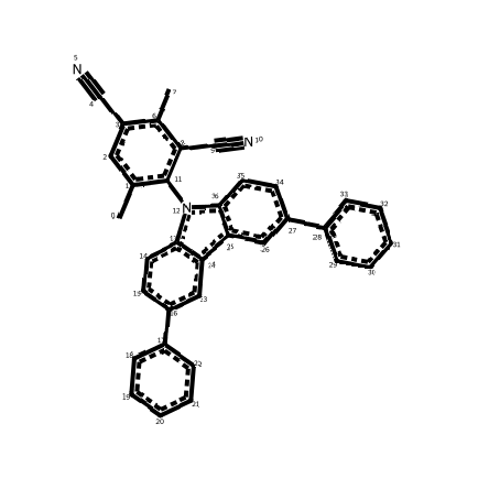 Cc1cc(C#N)c(C)c(C#N)c1-n1c2ccc(-c3ccccc3)cc2c2cc(-c3ccccc3)ccc21